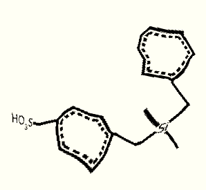 C[Si](C)(Cc1ccccc1)Cc1ccc(S(=O)(=O)O)cc1